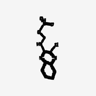 O=[SH](=O)OCNc1nc2ccccc2nc1Cl